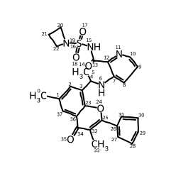 Cc1cc(C(C)Nc2cccnc2C(=O)NS(=O)(=O)N2CCC2)c2oc(-c3ccccc3)c(C)c(=O)c2c1